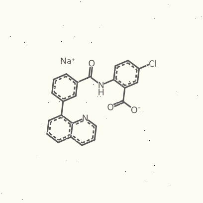 O=C(Nc1ccc(Cl)cc1C(=O)[O-])c1cccc(-c2cccc3cccnc23)c1.[Na+]